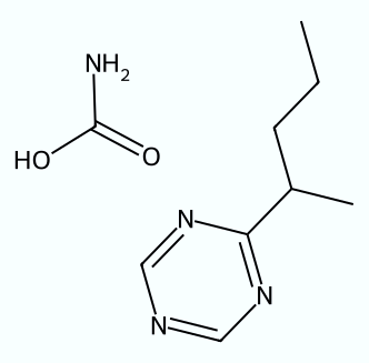 CCCC(C)c1ncncn1.NC(=O)O